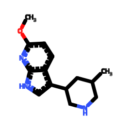 COc1ccc2c(C3CNCC(C)C3)c[nH]c2n1